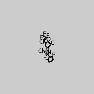 Fc1cccc(F)c1-c1nc(Cl)n(-c2cc(Cl)c(OC(F)(F)C(F)F)c(Cl)c2)n1